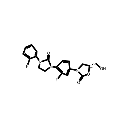 O=C1O[C@@H](CO)CN1c1ccc(N2CCN(c3ccccc3F)C2=O)c(F)c1